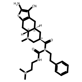 CN(C)CCNC(=O)N(CCc1ccccc1)C(=O)[C@@H]1C[C@@H]2Cc3c(sc(N)c3C#N)C[C@H]2N(C)C1